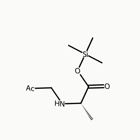 CC(=O)CN[C@@H](C)C(=O)O[Si](C)(C)C